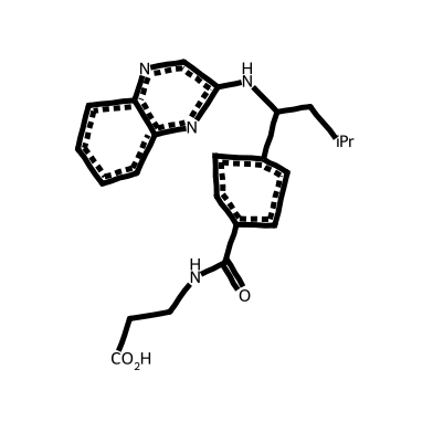 CC(C)CC(Nc1cnc2ccccc2n1)c1ccc(C(=O)NCCC(=O)O)cc1